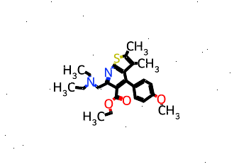 CCOC(=O)c1c(CN(CC)CC)nc2sc(C)c(C)c2c1-c1ccc(OC)cc1